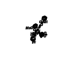 COc1ccccc1Oc1c(NS(=O)(=O)c2ccc(C(C)C)cn2)nc(-c2ccc3c(c2)OCO3)nc1OCCOC(=O)Nc1ccccn1